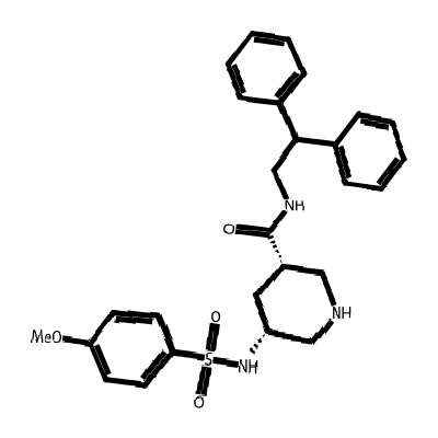 COc1ccc(S(=O)(=O)N[C@H]2CNC[C@@H](C(=O)NCC(c3ccccc3)c3ccccc3)C2)cc1